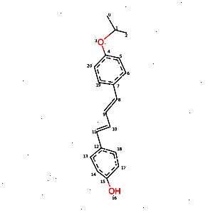 CC(C)Oc1ccc(C=CC=Cc2ccc(O)cc2)cc1